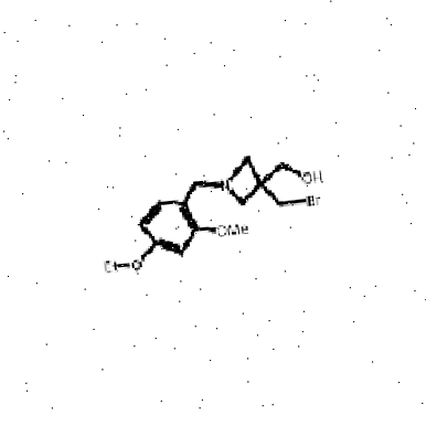 CCOc1ccc(CN2CC(CO)(CBr)C2)c(OC)c1